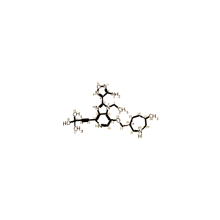 CCn1c(-c2nonc2N)nc2c(C#CC(C)(C)O)ncc(OC[C@H]3CCC(C)CNC3)c21